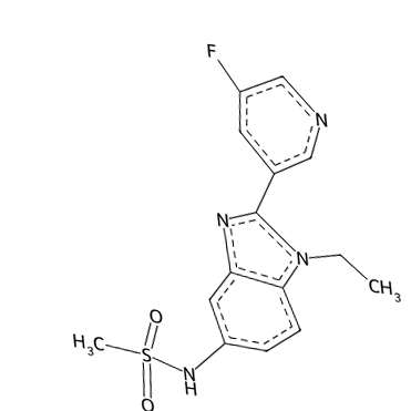 CCn1c(-c2cncc(F)c2)nc2cc(NS(C)(=O)=O)ccc21